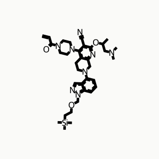 C=CC(=O)N1CCN(c2c(C#N)c(OC(C)CN(C)C)nc3c2CCN(c2cccc4c2cnn4COCC[Si](C)(C)C)C3)CC1